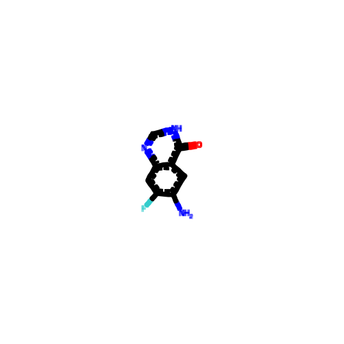 Nc1cc2c(=O)[nH]cnc2cc1F